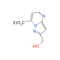 CCOC(=O)c1ccnc2cc(CO)nn12